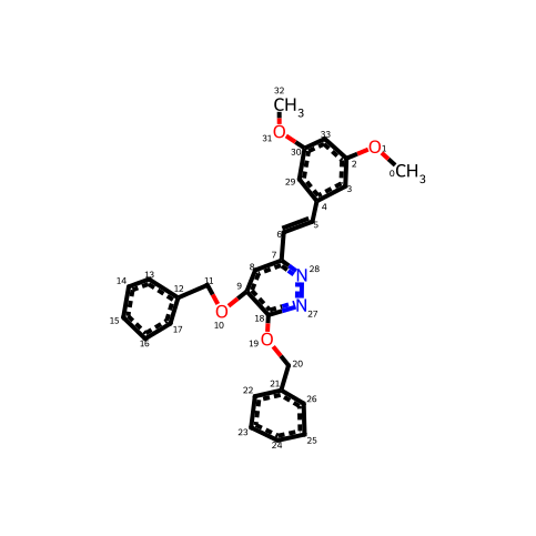 COc1cc(/C=C/c2cc(OCc3ccccc3)c(OCc3ccccc3)nn2)cc(OC)c1